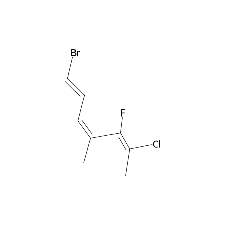 CC(=C/C=C/Br)/C(F)=C(\C)Cl